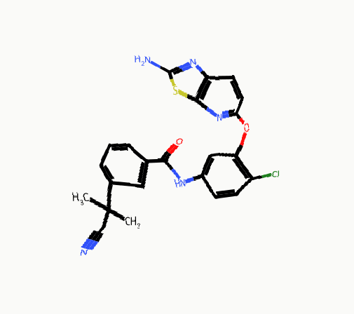 CC(C)(C#N)c1cccc(C(=O)Nc2ccc(Cl)c(Oc3ccc4nc(N)sc4n3)c2)c1